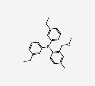 CCc1ccc[c]([Bi]([c]2cccc(CC)c2)[c]2ccc(C)cc2COC)c1